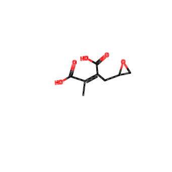 C/C(C(=O)O)=C(\CC1CO1)C(=O)O